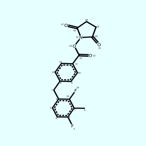 Cc1c(F)ccc(Cc2ccc(C(=O)ON3C(=O)CCC3=O)cc2)c1F